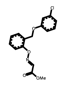 COC(=O)C=NOc1ccccc1COc1cccc(Cl)c1